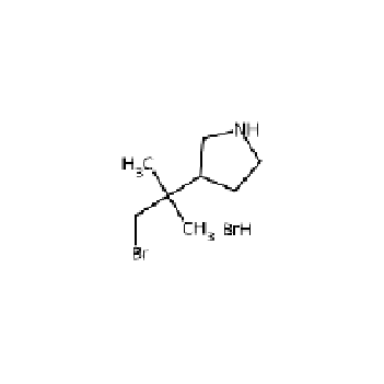 Br.CC(C)(CBr)C1CCNC1